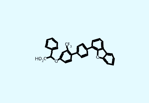 O=C(O)C(Oc1ccc(-c2ccc(-c3cccc4c3oc3ccccc34)cc2)c(C(F)(F)F)c1)c1ccccc1